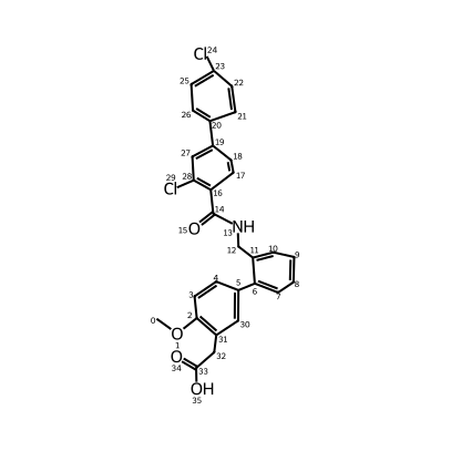 COc1ccc(-c2ccccc2CNC(=O)c2ccc(-c3ccc(Cl)cc3)cc2Cl)cc1CC(=O)O